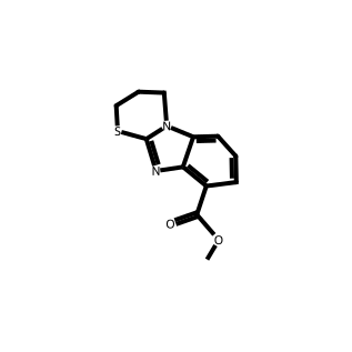 COC(=O)c1cccc2c1nc1n2CCCS1